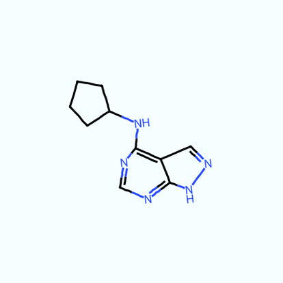 c1nc(NC2CCCC2)c2cn[nH]c2n1